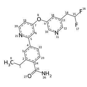 CCc1cc(-c2cc(Oc3cncc(CC(F)F)c3)ccn2)ccc1C(N)=O